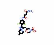 COC(=O)N1CCO[C@@H](Cc2c(-c3c(F)cc(NC(=O)/C=C/C(N)=O)cc3F)nc3cc(C)ccn23)C1